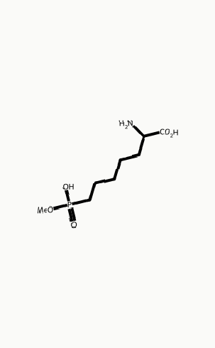 COP(=O)(O)CCCCCC(N)C(=O)O